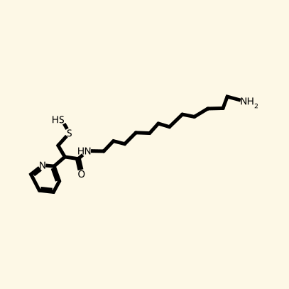 NCCCCCCCCCCCCNC(=O)C(CSS)c1ccccn1